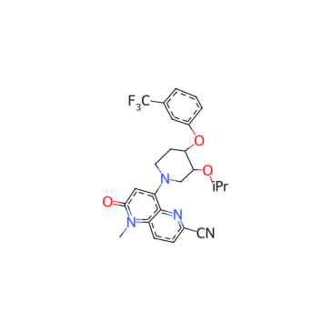 CC(C)OC1CN(c2cc(=O)n(C)c3ccc(C#N)nc23)CCC1Oc1cccc(C(F)(F)F)c1